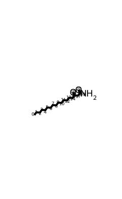 CCCCCCCCCCCCCCCC(=O)CC(N)=O